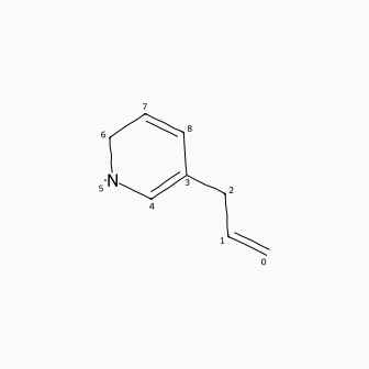 C=CCC1=C[N]CC=C1